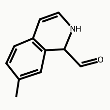 Cc1ccc2c(c1)C(C=O)NC=C2